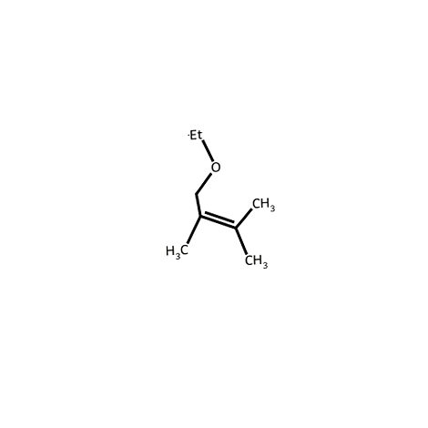 C[CH]OCC(C)=C(C)C